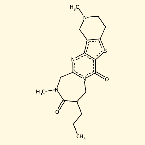 CCCC1Cn2c(nc3c4c(sc3c2=O)CCN(C)C4)CN(C)C1=O